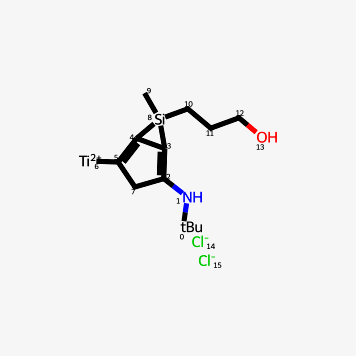 CC(C)(C)NC1=C2C(=[C]([Ti+2])C1)[Si]2(C)CCCO.[Cl-].[Cl-]